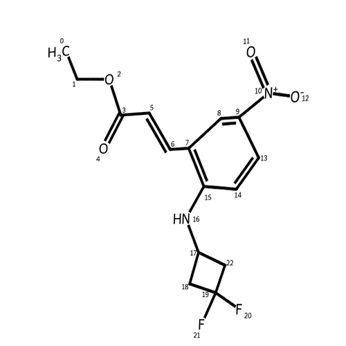 CCOC(=O)/C=C/c1cc([N+](=O)[O-])ccc1NC1CC(F)(F)C1